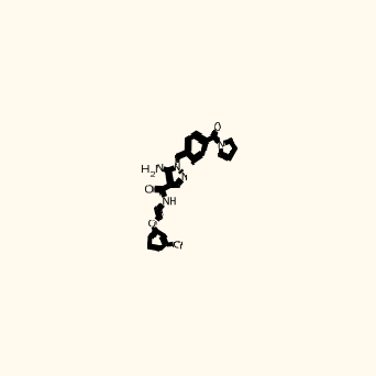 Nc1c(C(=O)NCCOc2cccc(Cl)c2)cnn1Cc1ccc(C(=O)N2CCCC2)cc1